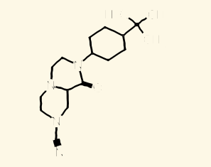 CC(C)(C)C1CCC(N2CCN3CCN(C#N)CC3C2=O)CC1